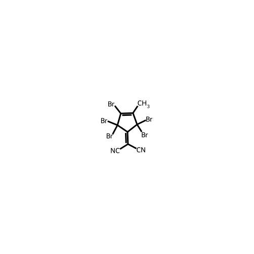 CC1=C(Br)C(Br)(Br)C(=C(C#N)C#N)C1(Br)Br